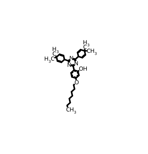 CCCCCCCCOc1ccc(-c2nc(C3C=CC(C)(C)C=C3)nc(C3C=CC(C)(C)C=C3)n2)c(O)c1